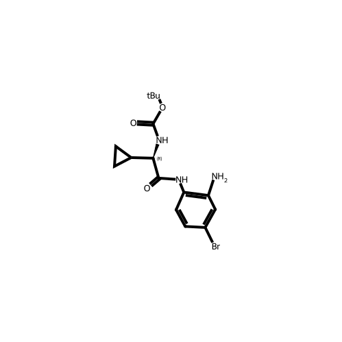 CC(C)(C)OC(=O)N[C@@H](C(=O)Nc1ccc(Br)cc1N)C1CC1